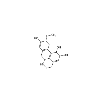 COC1CC2=C(C=C1O)CC1NCCC3=CC(O)C(O)C2=C31